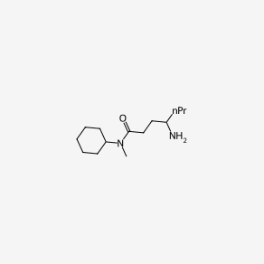 CCCC(N)CCC(=O)N(C)C1CCCCC1